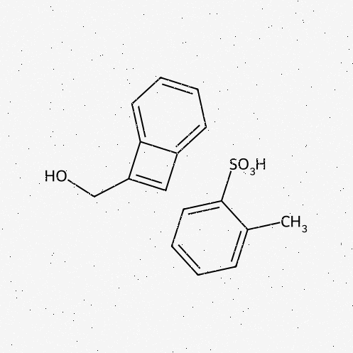 Cc1ccccc1S(=O)(=O)O.OCC1=Cc2ccccc21